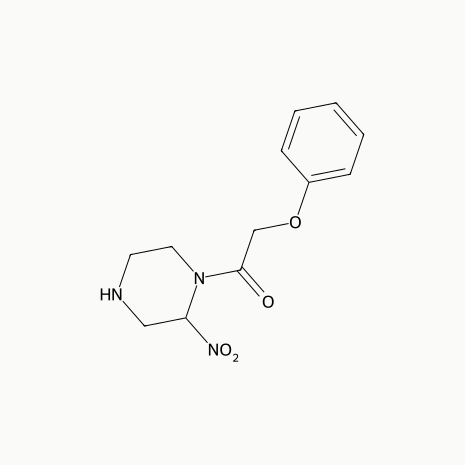 O=C(COc1ccccc1)N1CCNCC1[N+](=O)[O-]